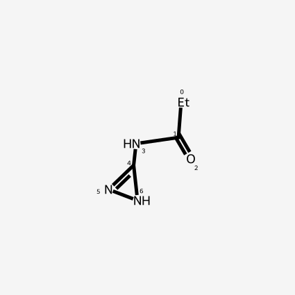 CCC(=O)NC1=NN1